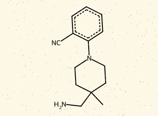 CC1(CN)CCN(c2ccccc2C#N)CC1